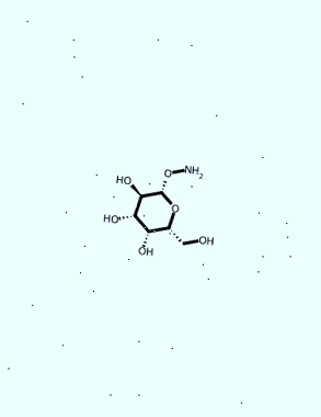 NO[C@@H]1O[C@H](CO)[C@H](O)[C@H](O)[C@H]1O